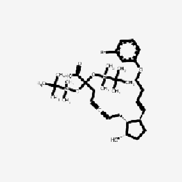 CC(C)(C)[Si](C)(C)OC(CC=C=CC[C@H]1[C@@H](O)CC[C@@H]1C=CCCOc1cccc(Br)c1)(O[Si](C)(C)C(C)(C)C)C(=O)O